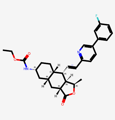 CCOC(=O)N[C@@H]1CC[C@H]2[C@@H](C1)C[C@H]1C(=O)O[C@H](C)[C@@H]1[C@H]2/C=C/c1ccc(-c2cccc(F)c2)cn1